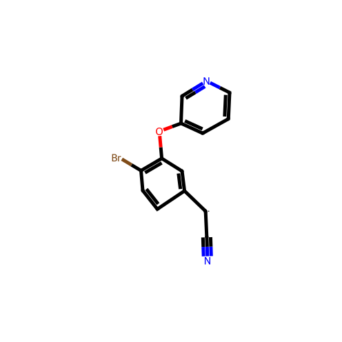 N#C[CH]c1ccc(Br)c(Oc2cccnc2)c1